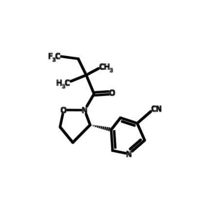 CC(C)(CC(F)(F)F)C(=O)N1OCC[C@H]1c1cncc(C#N)c1